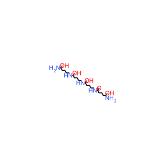 NC(O)CCCCNC(O)CCCCNC(O)CCCCNC(=O)CCCC(N)O